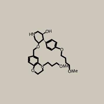 COCCCCOc1ccc([C@H]2[C@H](O)CNC[C@@H]2OCc2ccc3c(c2)N(CCCOC)CCO3)cc1